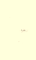 CCCCCCCCCCCCCCCCCCCCCCCCCC(=O)NC(CC1O[C@H](CO)[C@H](O)[C@H](O)[C@H]1O)C(O)C(O)CCCCCCCCCCCCCC